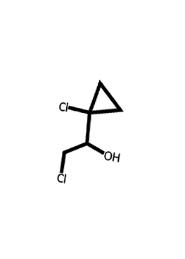 OC(CCl)C1(Cl)CC1